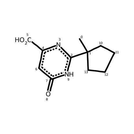 CC1(c2nc(C(=O)O)cc(=O)[nH]2)CCCC1